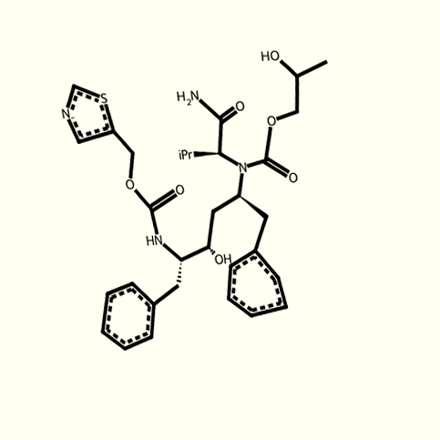 CC(O)COC(=O)N([C@@H](Cc1ccccc1)C[C@H](O)[C@H](Cc1ccccc1)NC(=O)OCc1cncs1)[C@H](C(N)=O)C(C)C